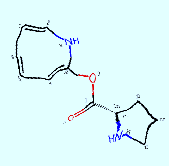 O=C(OC1=CC=CC=CN1)[C@@H]1CCCN1